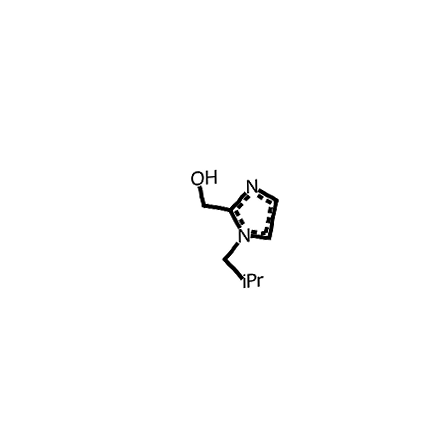 CC(C)Cn1ccnc1CO